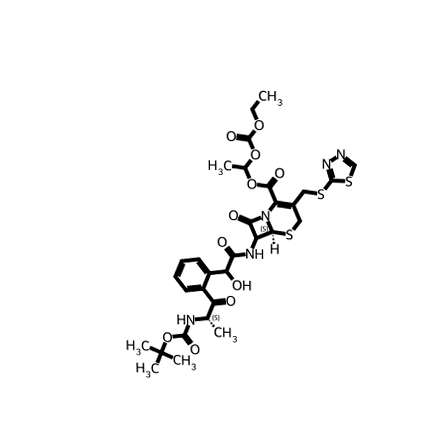 CCOC(=O)OC(C)OC(=O)C1=C(CSc2nncs2)CS[C@H]2C(NC(=O)C(O)c3ccccc3C(=O)[C@H](C)NC(=O)OC(C)(C)C)C(=O)N12